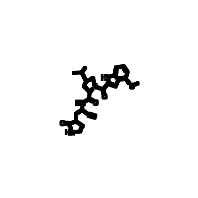 C#CC(CC1CCNC1=O)NC(=O)C1CC(C(C)C)CN1C(=O)c1cc2c(OC)cccc2[nH]1